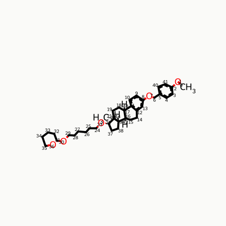 COc1ccc(COc2ccc3c(c2)CC[C@@H]2[C@@H]3CC[C@]3(C)[C@@H](OCCCCCCOC4CCCCO4)CC[C@@H]23)cc1